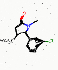 CN1C(=O)CC(C(=O)O)C1c1cccc(Cl)c1